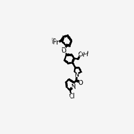 CC(C)c1ccccc1Oc1ccc(C2CCN(C(=O)c3cccc(Cl)n3)C2)c(CO)c1